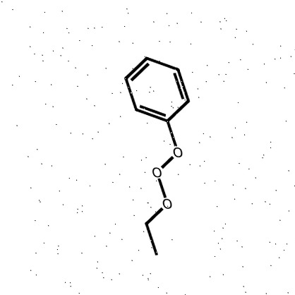 CCOOOc1ccccc1